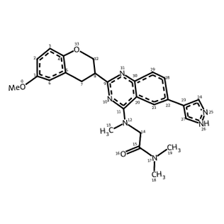 COc1ccc2c(c1)CC(c1nc(N(C)CC(=O)N(C)C)c3cc(-c4cn[nH]c4)ccc3n1)CO2